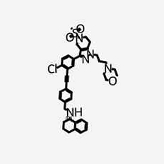 CS(=O)(=O)N1CCc2c(c(-c3ccc(Cl)c(C#Cc4ccc(CN[C@@H]5CCCc6ccccc65)cc4)c3)nn2CCCN2CCOCC2)C1